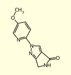 COc1ccc(-n2cc3c(n2)CNC3=O)nc1